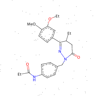 CCOc1cc(C2=NN(Cc3ccc(NC(=O)CC)cc3)C(=O)CC2CC)ccc1OC